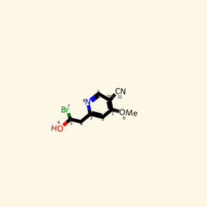 COc1cc(CC(O)Br)ncc1C#N